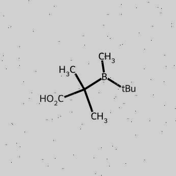 CB(C(C)(C)C)C(C)(C)C(=O)O